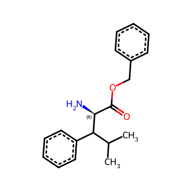 CC(C)C(c1ccccc1)[C@@H](N)C(=O)OCc1ccccc1